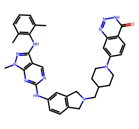 Cc1cccc(C)c1Nc1nn(C)c2nc(Nc3ccc4c(c3)CN(CC3CCN(c5ccc6c(=O)[nH]nnc6c5)CC3)C4)ncc12